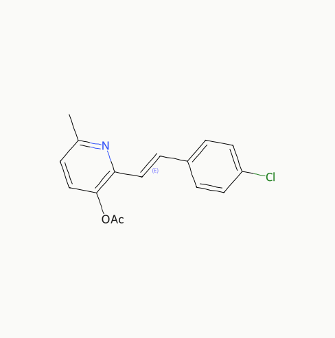 CC(=O)Oc1ccc(C)nc1/C=C/c1ccc(Cl)cc1